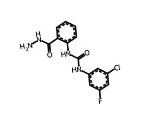 NNC(=O)c1ccccc1NC(=O)Nc1cc(F)cc(Cl)c1